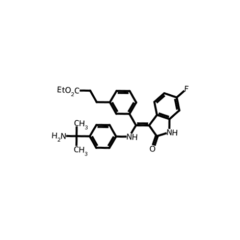 CCOC(=O)CCc1cccc(/C(Nc2ccc(C(C)(C)N)cc2)=C2/C(=O)Nc3cc(F)ccc32)c1